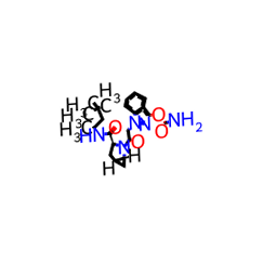 C[C@H](CC(C)(C)C)NC(=O)[C@@H]1C[C@H]2C[C@H]2N1C(=O)Cn1nc(OC(N)=O)c2ccccc21